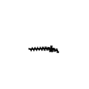 CCCCCCCCCCCCCCCN1C=CN(CCCC)C1C